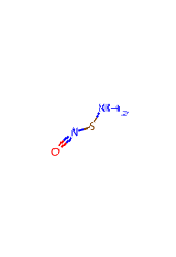 NSN=O